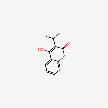 CC(C)c1c(O)c2ccccc2oc1=O